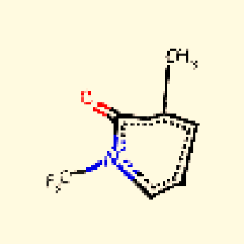 Cc1cccn(C(F)(F)F)c1=O